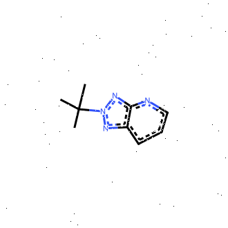 CC(C)(C)n1nc2cccnc2n1